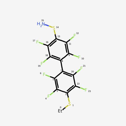 CCSc1c(F)c(F)c(-c2c(F)c(F)c(SN)c(F)c2F)c(F)c1F